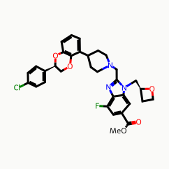 COC(=O)c1cc(F)c2nc(CN3CCC(c4cccc5c4OC[C@@H](c4ccc(Cl)cc4)O5)CC3)n(C[C@@H]3CCO3)c2c1